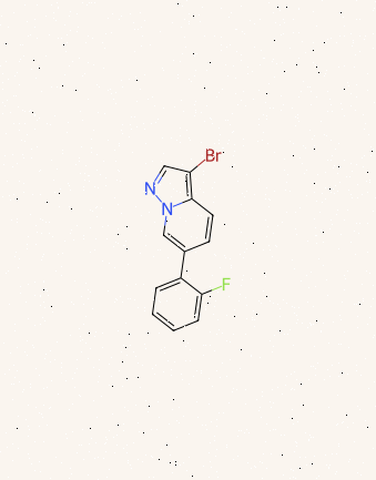 Fc1ccccc1-c1ccc2c(Br)cnn2c1